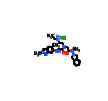 CCNCCN(CC(=O)N(C)N1Cc2ccccc2C1)C(=O)CNc1cc2nn(C)cc2cc1C.Cl